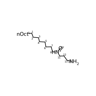 CCCCCCCCCCCCCCCC[NH+]([O-])CCCN